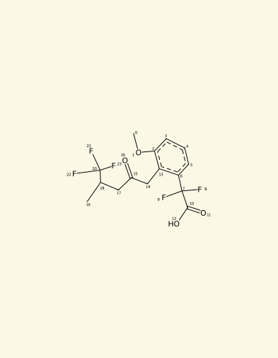 COc1cccc(C(F)(F)C(=O)O)c1CC(=O)CC(C)C(F)(F)F